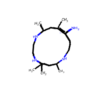 C/C1=C(\N)CCNC(C)CC(C)(C)NCCNC(C)C1